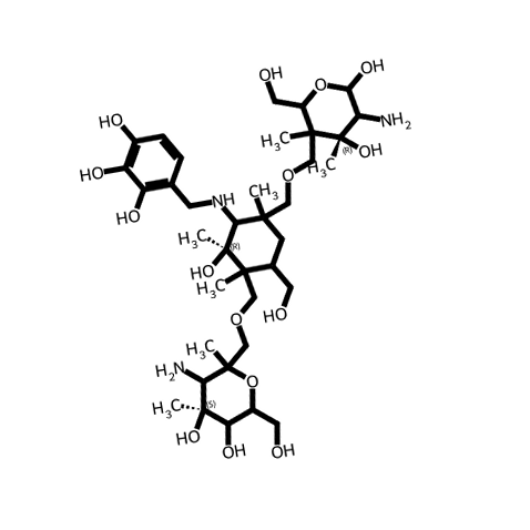 CC1(COCC2(C)C(CO)OC(O)C(N)[C@]2(C)O)CC(CO)C(C)(COCC2(C)OC(CO)C(O)[C@@](C)(O)C2N)[C@@](C)(O)C1NCc1ccc(O)c(O)c1O